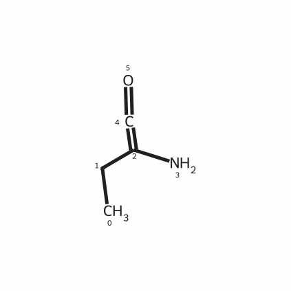 CCC(N)=C=O